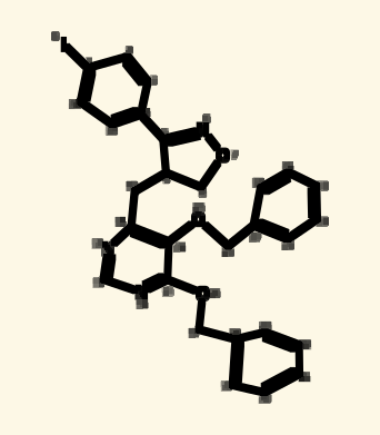 Ic1ccc(C2=NOCC2Cc2ncnc(OCc3ccccc3)c2OCc2ccccc2)cc1